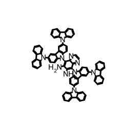 Nc1c(N)c(-n2c3ccc(-n4c5ccccc5c5ccccc54)cc3c3cc(-n4c5ccccc5c5ccccc54)ccc32)c2nccnc2c1-n1c2ccc(-n3c4ccccc4c4ccccc43)cc2c2cc(-n3c4ccccc4c4ccccc43)ccc21